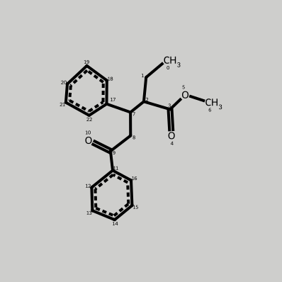 CCC(C(=O)OC)C(CC(=O)c1ccccc1)c1ccccc1